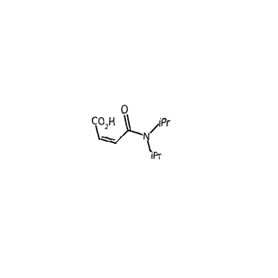 CC(C)N(C(=O)/C=C\C(=O)O)C(C)C